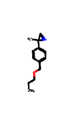 COCCOCc1ccc(C2(C)C=N2)cc1